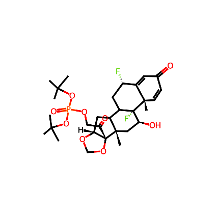 CC(C)(C)OP(=O)(OCC(=O)[C@@]12OCO[C@@H]1CC1C3C[C@H](F)C4=CC(=O)C=C[C@]4(C)[C@@]3(F)[C@@H](O)C[C@@]12C)OC(C)(C)C